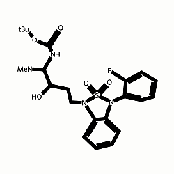 CNC(NC(=O)OC(C)(C)C)C(O)CCN1c2ccccc2N(c2ccccc2F)S1(=O)=O